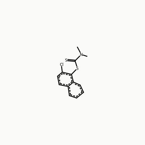 CN(C)C(=S)Sc1c(Cl)ccc2ccccc12